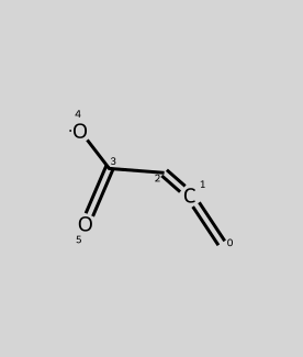 C=C=CC([O])=O